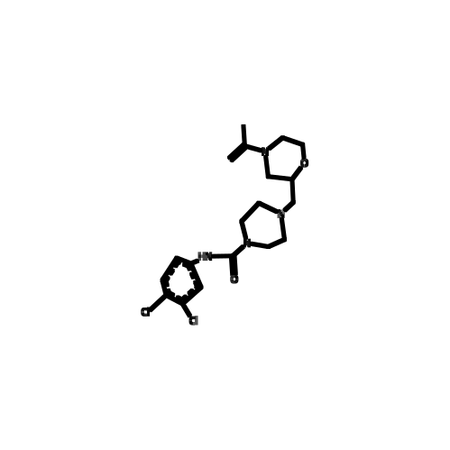 C=C(C)N1CCOC(CN2CCN(C(=O)Nc3ccc(Cl)c(Cl)c3)CC2)C1